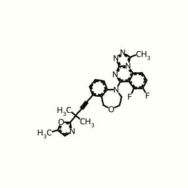 Cc1cnc(C(C)(C)C#Cc2cccc3c2COCCN3c2nc3nnc(C)n3c3ccc(F)c(F)c23)o1